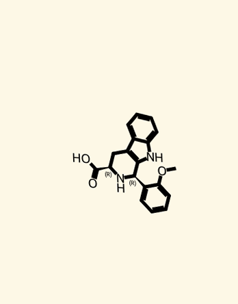 COc1ccccc1[C@H]1N[C@@H](C(=O)O)Cc2c1[nH]c1ccccc21